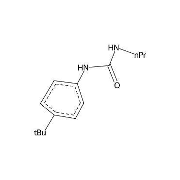 CCCNC(=O)Nc1ccc(C(C)(C)C)cc1